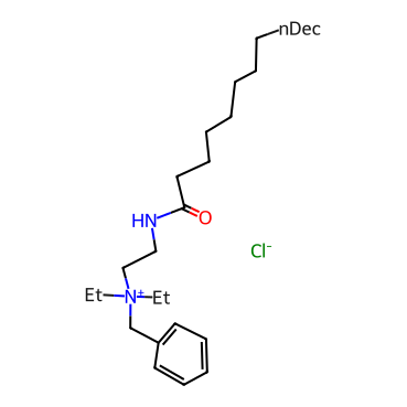 CCCCCCCCCCCCCCCCCC(=O)NCC[N+](CC)(CC)Cc1ccccc1.[Cl-]